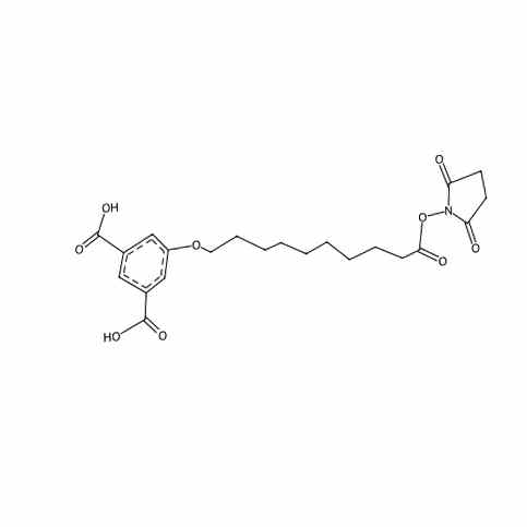 O=C(CCCCCCCCCOc1cc(C(=O)O)cc(C(=O)O)c1)ON1C(=O)CCC1=O